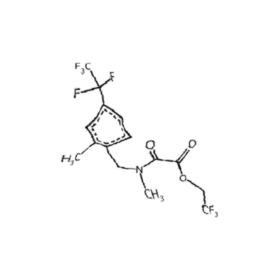 Cc1cc(C(F)(F)C(F)(F)F)ccc1CN(C)C(=O)C(=O)OCC(F)(F)F